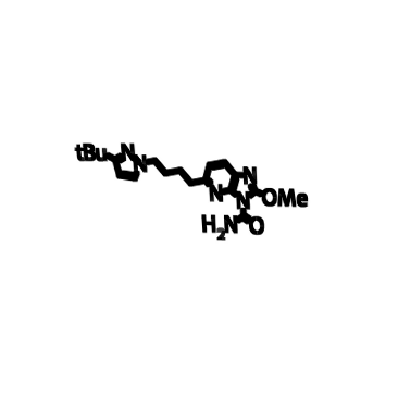 COc1nc2ccc(CCCCn3ccc(C(C)(C)C)n3)nc2n1C(N)=O